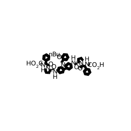 CCCCOc1ccccc1Cn1c2cc(NC(=O)[C@@H]3CCCN3C(=O)C(NC(=O)O)c3ccccc3)ccc2c2ccc(NC(=O)[C@@H]3CCCN3C(=O)C(NC(=O)O)c3ccccc3)cc21